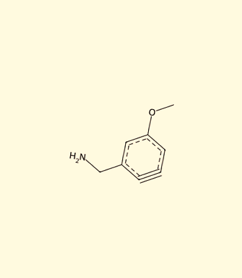 COc1cc#cc(CN)c1